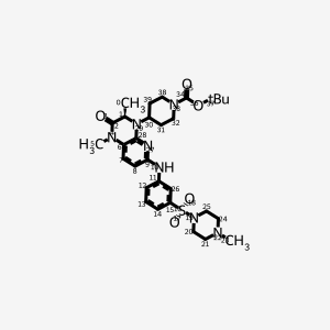 C[C@@H]1C(=O)N(C)c2ccc(Nc3cccc(S(=O)(=O)N4CCN(C)CC4)c3)nc2N1C1CCN(C(=O)OC(C)(C)C)CC1